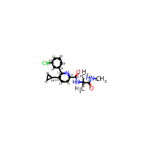 CNC(=O)C(C)(C)NC(=O)c1ccc(C2CC2)c(-c2cccc(Cl)c2)n1